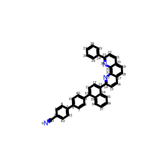 N#Cc1ccc(-c2ccc(-c3ccc(-c4ccc5ccc6ccc(-c7ccccc7)nc6c5n4)c4ccccc34)cc2)cc1